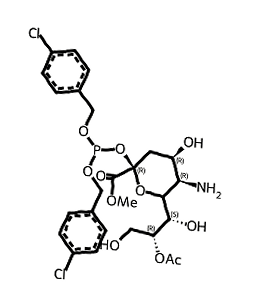 COC(=O)[C@]1(OP(OCc2ccc(Cl)cc2)OCc2ccc(Cl)cc2)C[C@@H](O)[C@@H](N)C([C@H](O)[C@@H](CO)OC(C)=O)O1